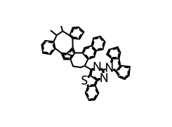 Cc1c2cc3c(c1-c1ccccc1C(C)C(C)c1ccccc1-2)-c1cc2ccccc2cc1C(c1nc(-n2c4ccccc4c4ccccc42)nc2c1sc1ccccc12)CC3